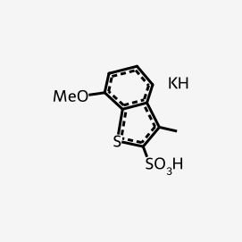 COc1cccc2c(C)c(S(=O)(=O)O)sc12.[KH]